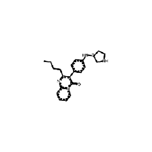 CCCCc1nc2ccccn2c(=O)c1-c1ccc(N[C@H]2CCNC2)cc1